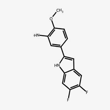 COc1ccc(-c2cc3cc(F)c(F)cc3[nH]2)cc1[NH]